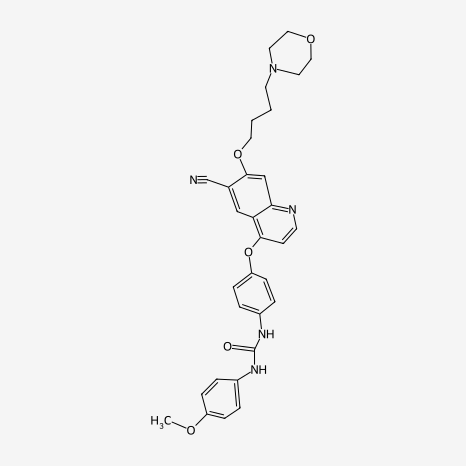 COc1ccc(NC(=O)Nc2ccc(Oc3ccnc4cc(OCCCCN5CCOCC5)c(C#N)cc34)cc2)cc1